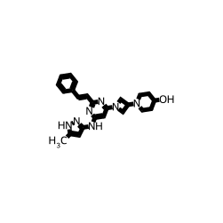 Cc1cc(Nc2cc(N3CC(N4CCC(O)CC4)C3)nc(/C=C/c3ccccc3)n2)n[nH]1